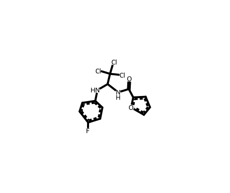 O=C(NC(Nc1ccc(F)cc1)C(Cl)(Cl)Cl)c1ccco1